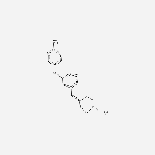 O=C(O)N1CCC(=Cc2cccc(Oc3ccc(C(F)(F)F)nc3)c2)CC1